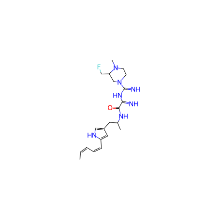 C/C=C\C=C/c1cc(CC(C)NC(=O)C(=N)NC(=N)N2CCN(C)C(CF)C2)c[nH]1